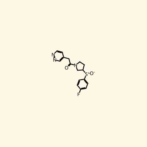 O=C(Cc1ccnnc1)N1CCC([S+]([O-])c2ccc(F)cc2)C1